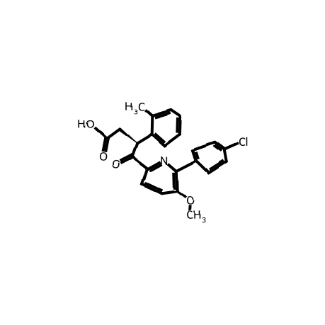 COc1ccc(C(=O)[C@@H](CC(=O)O)c2ccccc2C)nc1-c1ccc(Cl)cc1